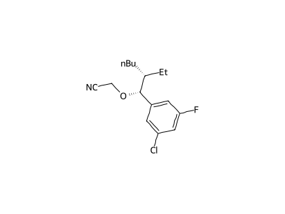 CCCC[C@H](CC)[C@@H](OCC#N)c1cc(F)cc(Cl)c1